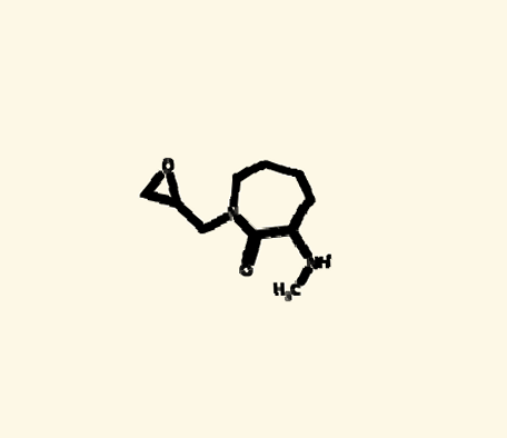 CNC1CCCCN(CC2CO2)C1=O